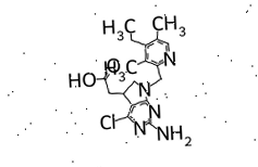 CCc1c(C)cnc(CN2CC(CC(=O)O)c3c(Cl)nc(N)nc32)c1C